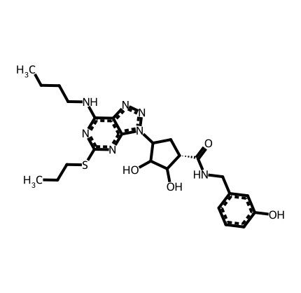 CCCCNc1nc(SCCC)nc2c1nnn2C1C[C@H](C(=O)NCc2cccc(O)c2)C(O)C1O